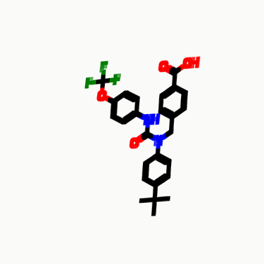 CC(C)(C)c1ccc(N(Cc2ccc(C(=O)O)cc2)C(=O)Nc2ccc(OC(F)(F)F)cc2)cc1